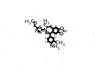 COCc1nnc(N2N=C(c3ccc(N)c(C)c3)c3cc4c(cc3C[C@H]2C)OCO4)s1